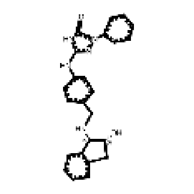 O=c1[nH]c(Nc2ccc(CN[C@H]3c4ccccc4C[C@H]3O)cc2)nn1-c1ccccc1